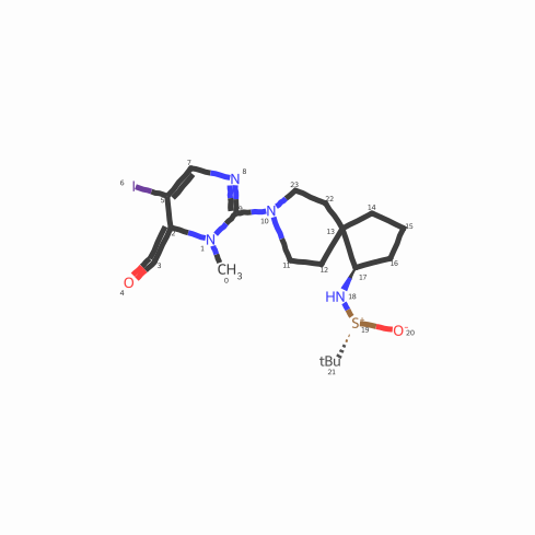 CN1C(=C=O)C(I)=CN=C1N1CCC2(CCC[C@H]2N[S@+]([O-])C(C)(C)C)CC1